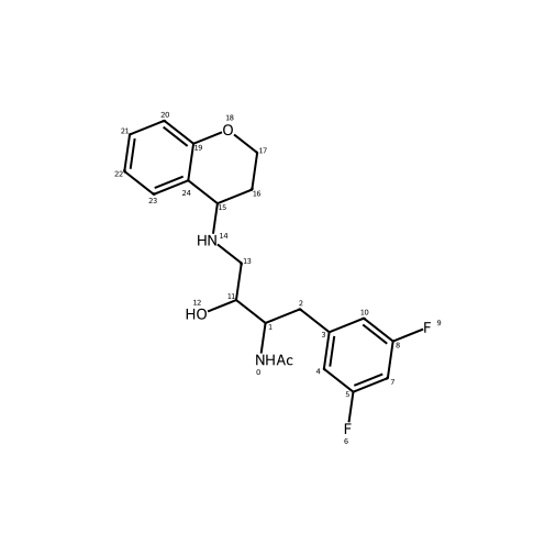 CC(=O)NC(Cc1cc(F)cc(F)c1)C(O)CNC1CCOc2ccccc21